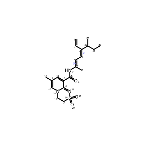 C=C/C(=C\C=C(/C)NC(=O)C1=CC(C)=CN2CCS(=O)(=O)N=C12)C(C)CC